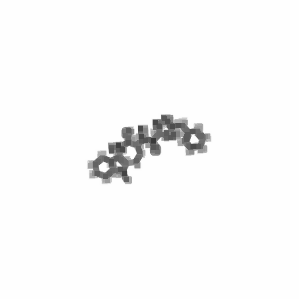 Cn1c2c(c3c1CCC(NC(=O)c1nnc(Cc4ccccc4)[nH]1)C(=O)N3)CCCC2